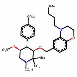 COCCCN1CCOc2ccc(CO[C@@H]3[C@@H](c4ccc(OC)cc4)[C@H](O[N+](=O)[O-])CN(C(=O)O)C3(C)C(C)(C)C)cc21